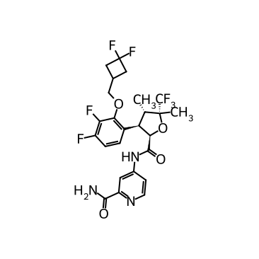 C[C@H]1[C@H](c2ccc(F)c(F)c2OCC2CC(F)(F)C2)[C@H](C(=O)Nc2ccnc(C(N)=O)c2)O[C@@]1(C)C(F)(F)F